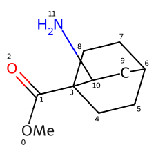 COC(=O)C12CCC(CC1)CC2N